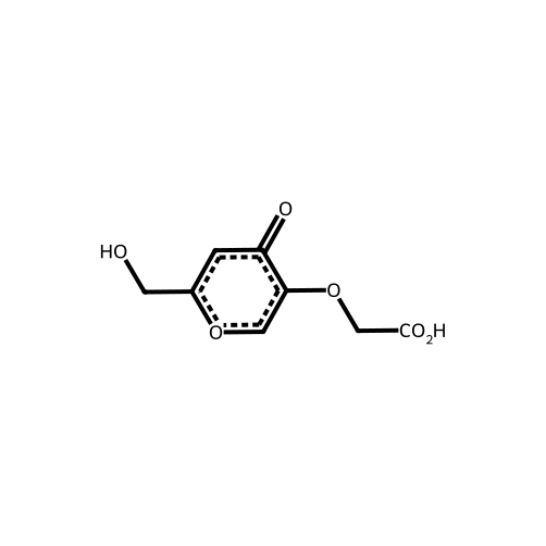 O=C(O)COc1coc(CO)cc1=O